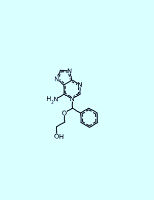 Nc1c2ncnc-2ncn1C(OCCO)c1ccccc1